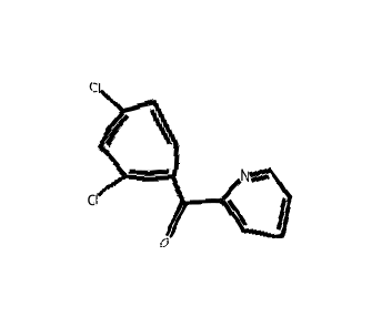 O=C(c1ccccn1)c1ccc(Cl)cc1Cl